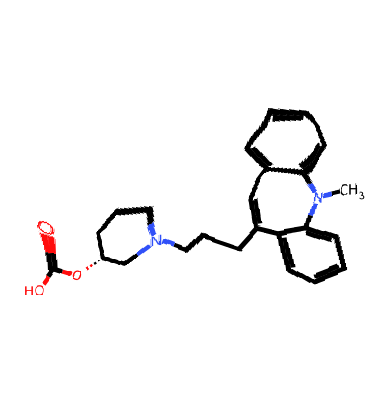 CN1c2ccccc2C=C(CCCN2CCC[C@@H](OC(=O)O)C2)c2ccccc21